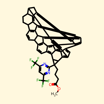 COC(=O)CCCC1(c2nc(C(F)(F)F)cc(C(F)(F)F)n2)C2c3c4cc5c3c3c(c6ccc7c8c9c%10c%11c%12c%13c%14c(c%11c5c%10c3c68)CC(C#C4)C%14CCC%13C3=C%12C9C7C=C3)C21